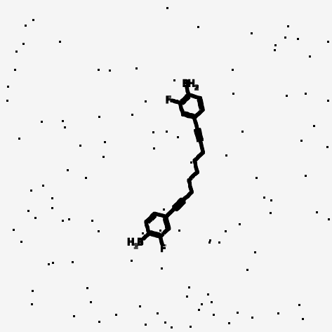 Bc1ccc(C#CCCCCCC#Cc2ccc(B)c(F)c2)cc1F